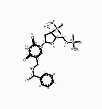 CC(C)C(OCc1cn([C@H]2C[C@@](O)([Si](C)(C)C(C)(C)C)[C@@H](CO[Si](C)(C)C(C)(C)C)O2)c(=O)[nH]c1=O)c1ccccc1